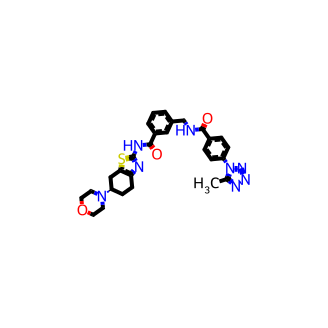 Cc1nnnn1-c1ccc(C(=O)NCc2cccc(C(=O)Nc3nc4c(s3)C[C@@H](N3CCOCC3)CC4)c2)cc1